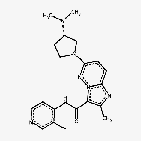 Cc1nc2ccc(N3CC[C@H](N(C)C)C3)nn2c1C(=O)Nc1ccncc1F